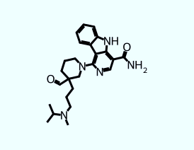 CC(C)N(C)CCCC1(C=O)CCCN(c2ncc(C(N)=O)c3[nH]c4ccccc4c23)C1